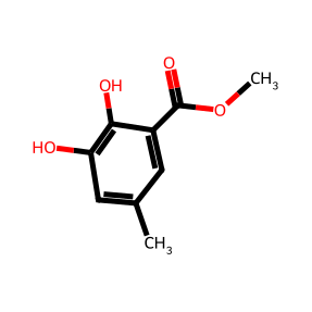 COC(=O)c1cc(C)cc(O)c1O